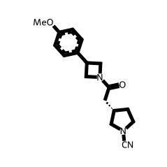 COc1ccc(C2CN(C(=O)C[C@@H]3CCN(C#N)C3)C2)cc1